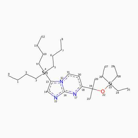 CCC[CH2][Sn]([CH2]CCC)([CH2]CCC)[c]1cnc2nc(C(C)(C)O[Si](CC)(CC)CC)ccn12